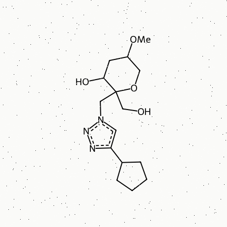 COC1COC(CO)(Cn2cc(C3CCCC3)nn2)C(O)C1